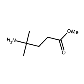 COC(=O)CCC(C)(C)N